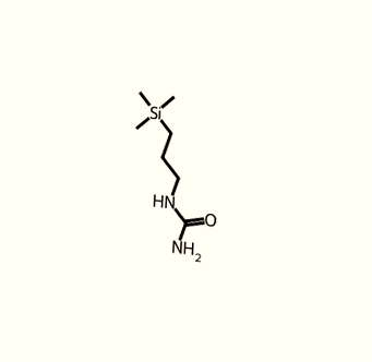 C[Si](C)(C)CCCNC(N)=O